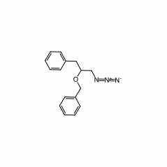 [N-]=[N+]=NCC(Cc1ccccc1)OCc1ccccc1